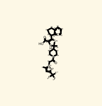 Cc1cc(C(F)(F)F)nn1CC(=O)N1CCC(C2(C)NC(C(=O)O)=C(C3CCCc4ccccc43)S2)CC1